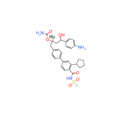 CC(C)(C)C(Cc1ccc(-c2ccc(C(=O)NS(C)(=O)=O)c(C3CCCC3)c2)cc1)(C[C@@H](O)c1ccc(N)cc1)OC(N)=O